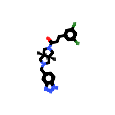 O=C(CCc1cc(Cl)cc(Cl)c1)N1C[C@H]2CN(Cc3ccc4[nH]nnc4c3)C[C@H]2C1